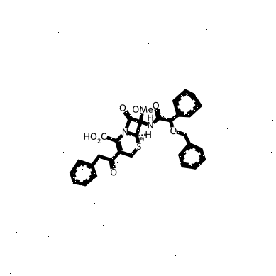 COC1(NC(=O)C(OCc2ccccc2)c2ccccc2)C(=O)N2C(C(=O)O)=C(C(=O)Cc3ccccc3)CS[C@@H]21